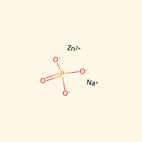 O=P([O-])([O-])[O-].[Na+].[Zn+2]